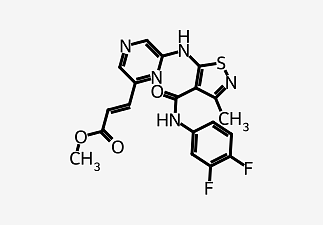 COC(=O)C=Cc1cncc(Nc2snc(C)c2C(=O)Nc2ccc(F)c(F)c2)n1